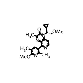 COC[C@@H](C1CC1)n1c(=O)c(C)nc2c(-c3cc(C)c(OC)nc3C)nccc21